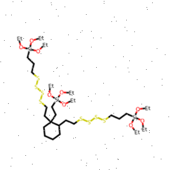 CCO[Si](CCCSSSSCCC1CCCCC1(CCSSSSCCC[Si](OCC)(OCC)OCC)CC[Si](OCC)(OCC)OCC)(OCC)OCC